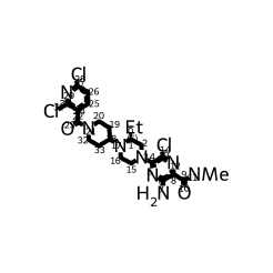 CC[C@H]1CN(c2nc(N)c(C(=O)NC)nc2Cl)CCN1C1CCN(C(=O)c2ccc(Cl)nc2Cl)CC1